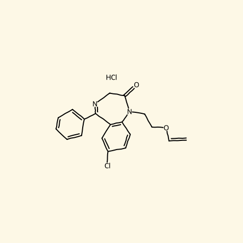 C=COCCN1C(=O)CN=C(c2ccccc2)c2cc(Cl)ccc21.Cl